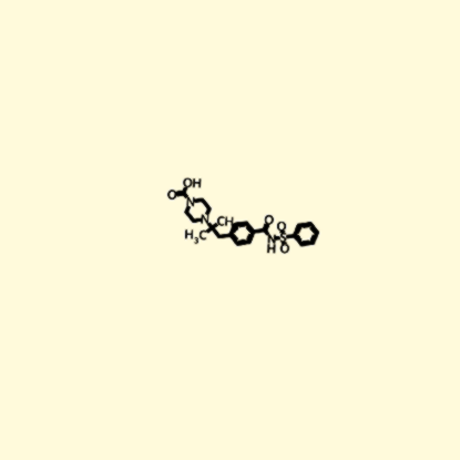 CC(C)(Cc1ccc(C(=O)NS(=O)(=O)c2ccccc2)cc1)N1CCN(C(=O)O)CC1